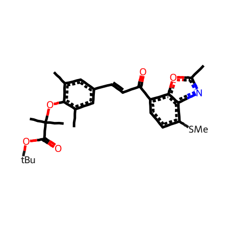 CSc1ccc(C(=O)/C=C/c2cc(C)c(OC(C)(C)C(=O)OC(C)(C)C)c(C)c2)c2oc(C)nc12